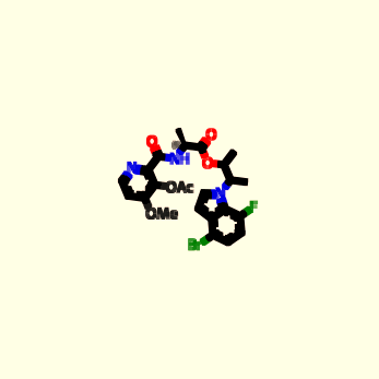 COc1ccnc(C(=O)N[C@@H](C)C(=O)OC(C)C(C)n2ccc3c(Br)ccc(F)c32)c1OC(C)=O